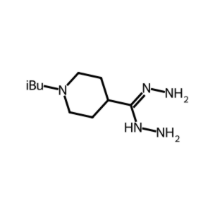 CCC(C)N1CCC(/C(=N/N)NN)CC1